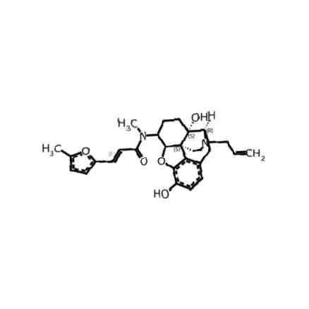 C=CCN1CC[C@]23c4c5ccc(O)c4OC2C(N(C)C(=O)/C=C/c2ccc(C)o2)CC[C@@]3(O)[C@H]1C5